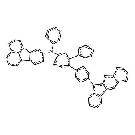 c1cccc(N(c2ccc(-c3ccc(-n4c5ccccc5c5cc6ccccc6cc54)cc3)c(-c3ccccc3)c2)c2ccc3c(c2)-c2cccc4cccc-3c24)c#1